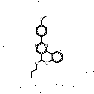 CCCOC1Oc2ccccc2-c2nc(-c3ccc(OC)cc3)ncc21